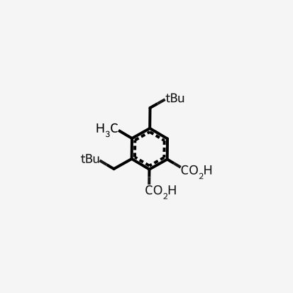 Cc1c(CC(C)(C)C)cc(C(=O)O)c(C(=O)O)c1CC(C)(C)C